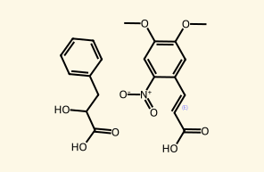 COc1cc(/C=C/C(=O)O)c([N+](=O)[O-])cc1OC.O=C(O)C(O)Cc1ccccc1